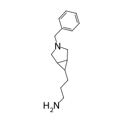 NCCCC1C2CN(Cc3ccccc3)CC12